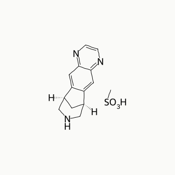 CS(=O)(=O)O.c1cnc2cc3c(cc2n1)[C@@H]1CNC[C@H]3C1